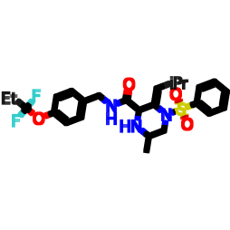 CCC(F)(F)Oc1ccc(CNC(=O)C2NC(C)CN(S(=O)(=O)c3ccccc3)C2=CC(C)C)cc1